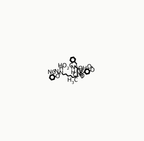 CC(C)(CCCCCNC(=NC#N)Oc1ccccc1)CN(C[C@H](O)[C@H](Cc1ccccc1)NC(=O)O)S(=O)(=O)c1ccc2c(c1)OCO2